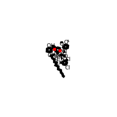 CCCCCCCCCCCCC(Oc1ccc(O)c(C(C)(C)C)c1)C(=O)NN(c1ccccc1Cl)c1[nH]n(-c2c(Cl)cc(Cl)cc2Cl)c(=O)c1N=Nc1ccc(OC)c(OC)c1